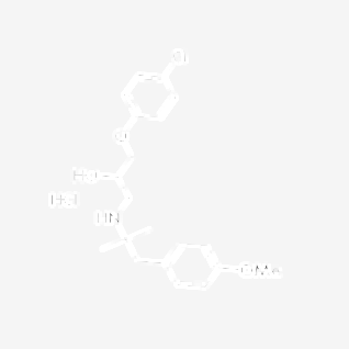 COc1ccc(CC(C)(C)NCC(O)COc2ccc(Cl)cc2)cc1.Cl